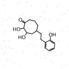 O=C1CCCC(CCc2ccccc2O)CC(O)C1O